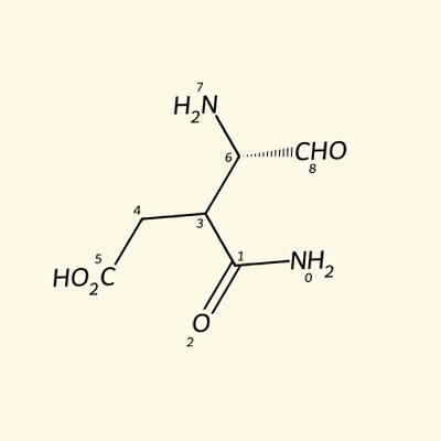 NC(=O)C(CC(=O)O)[C@H](N)C=O